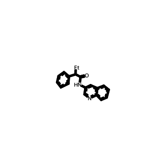 [CH2]CC(C(=O)Nc1cnc2ccccc2c1)c1ccccc1